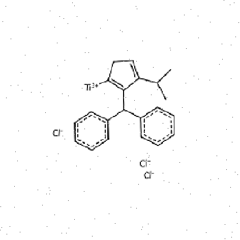 CC(C)C1=CC[C]([Ti+3])=C1C(c1ccccc1)c1ccccc1.[Cl-].[Cl-].[Cl-]